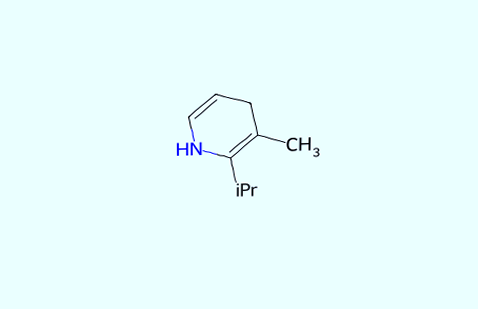 CC1=C(C(C)C)NC=CC1